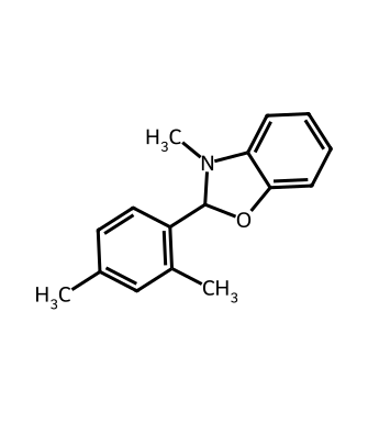 Cc1ccc(C2Oc3ccccc3N2C)c(C)c1